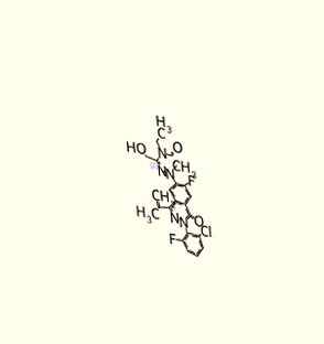 C=C(C)c1nn(-c2c(F)cccc2Cl)c(=O)c2cc(F)c(N(C)/N=C(/CO)N(C=O)CC)cc12